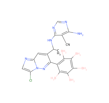 Bc1c(B)c(B)c(-c2nn3c(Cl)cnc3cc2C(C)Nc2ncnc(N)c2C#N)c(B)c1B